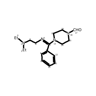 CCN(CC)CC/N=C(\c1ccccc1)N1CCN(C=O)CC1